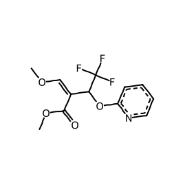 COC=C(C(=O)OC)C(Oc1ccccn1)C(F)(F)F